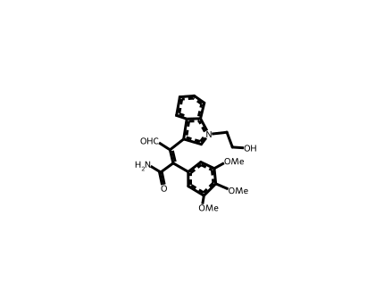 COc1cc(/C(C(N)=O)=C(/C=O)c2cn(CCO)c3ccccc23)cc(OC)c1OC